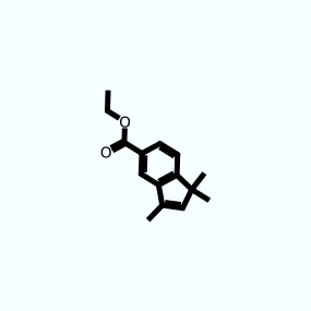 CCOC(=O)c1ccc2c(c1)C(C)=CC2(C)C